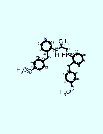 COc1ccc(Cc2ccccc2PCC(C)Pc2ccccc2Cc2ccc(OC)cc2)cc1